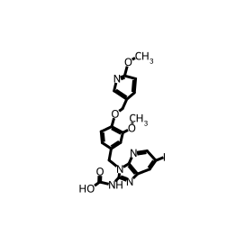 COc1ccc(COc2ccc(Cn3c(NC(=O)O)nc4cc(I)cnc43)cc2OC)cn1